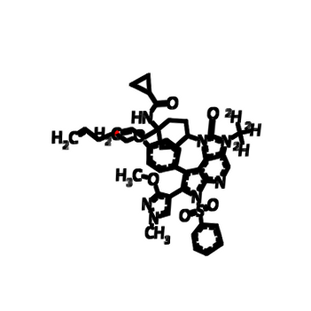 [2H]C([2H])([2H])n1c(=O)n(C2CCC(CC=C)(NC(=O)C3CC3)CC2)c2c3c(-c4ccc(OCCCC=C)cc4)c(-c4cn(C)nc4OC)n(S(=O)(=O)c4ccccc4)c3ncc21